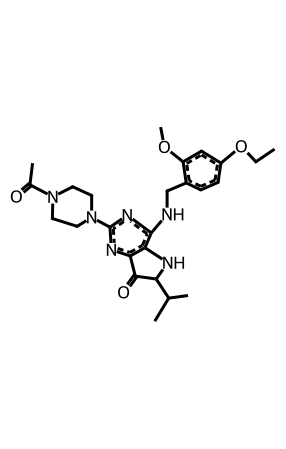 CCOc1ccc(CNc2nc(N3CCN(C(C)=O)CC3)nc3c2NC(C(C)C)C3=O)c(OC)c1